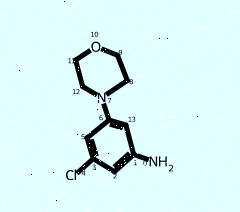 Nc1cc(Cl)cc(N2CCOCC2)c1